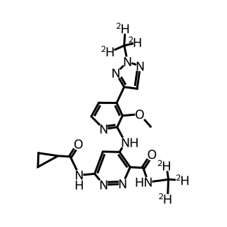 [2H]C([2H])([2H])NC(=O)c1nnc(NC(=O)C2CC2)cc1Nc1nccc(-c2cnn(C([2H])([2H])[2H])n2)c1OC